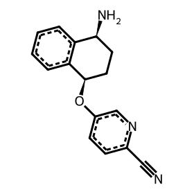 N#Cc1ccc(O[C@@H]2CC[C@H](N)c3ccccc32)cn1